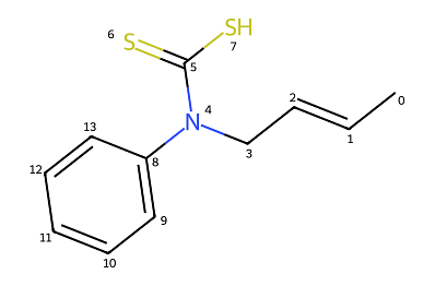 CC=CCN(C(=S)S)c1ccccc1